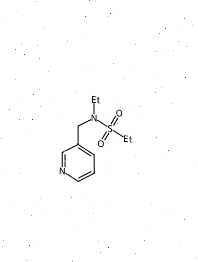 CCN(Cc1cccnc1)S(=O)(=O)CC